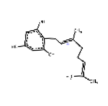 CC(C)=CCC/C(C)=C/Cc1c(O)[c]c(O)cc1O